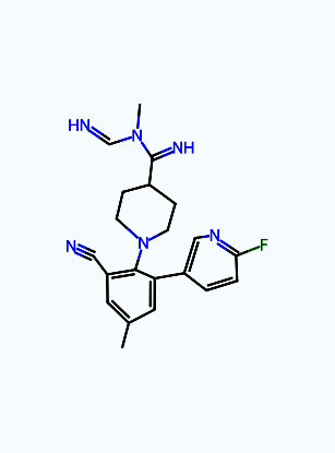 Cc1cc(C#N)c(N2CCC(C(=N)N(C)C=N)CC2)c(-c2ccc(F)nc2)c1